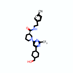 N#Cc1ccc(CCNC(=O)[C@@H]2CCCN(c3cc(C4CCC(CO)CC4)nc(C(F)(F)F)n3)C2)cc1